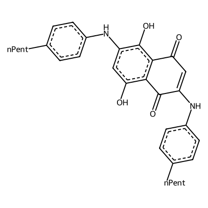 CCCCCc1ccc(NC2=CC(=O)c3c(O)c(Nc4ccc(CCCCC)cc4)cc(O)c3C2=O)cc1